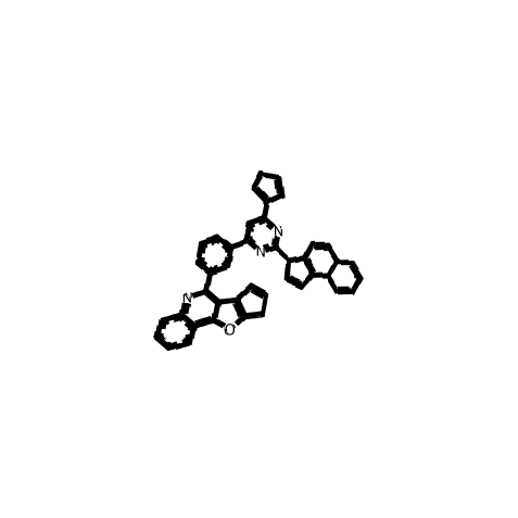 C1=CC2C=CC3=C(C=CC3c3nc(C4=CCC=C4)cc(-c4cccc(C5N=c6ccccc6=C6OC7=C(C=CC7)C65)c4)n3)C2C=C1